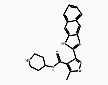 Cc1[nH]nc(-c2nc3cc4ccccc4cc3[nH]2)c1C(=O)NC1CCNCC1